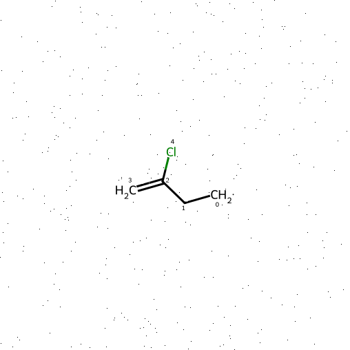 [CH2]CC(=C)Cl